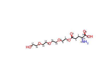 N[C@@H](CCC(=O)OCCOCCOCCOCCO)C(=O)O